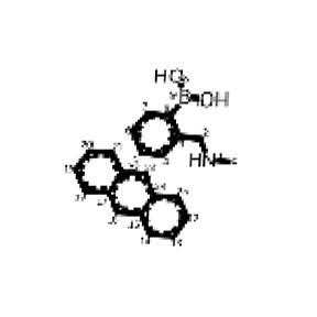 CNCc1ccccc1B(O)O.c1ccc2cc3ccccc3cc2c1